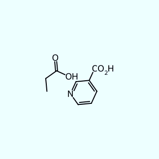 CCC(=O)O.O=C(O)c1cccnc1